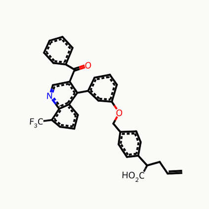 C=CCC(C(=O)O)c1ccc(COc2cccc(-c3c(C(=O)c4ccccc4)cnc4c(C(F)(F)F)cccc34)c2)cc1